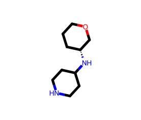 C1COC[C@H](NC2CCNCC2)C1